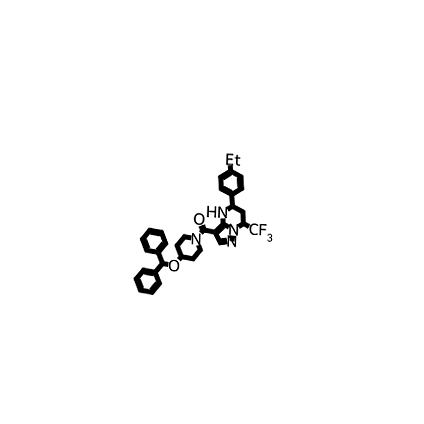 CCc1ccc(C2CC(C(F)(F)F)n3ncc(C(=O)N4CCC(OC(c5ccccc5)c5ccccc5)CC4)c3N2)cc1